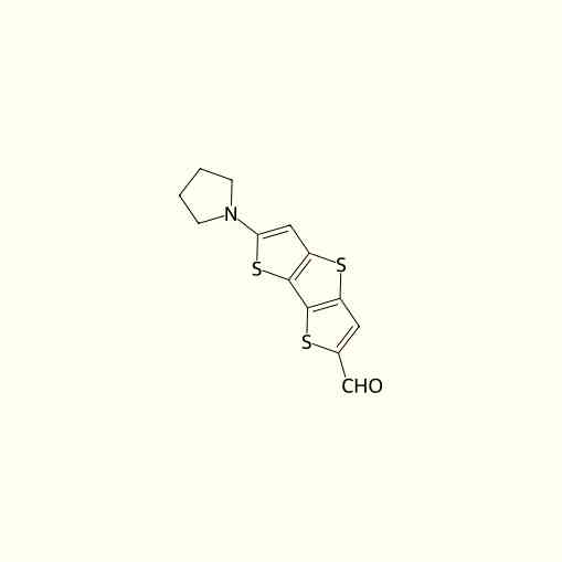 O=Cc1cc2sc3cc(N4CCCC4)sc3c2s1